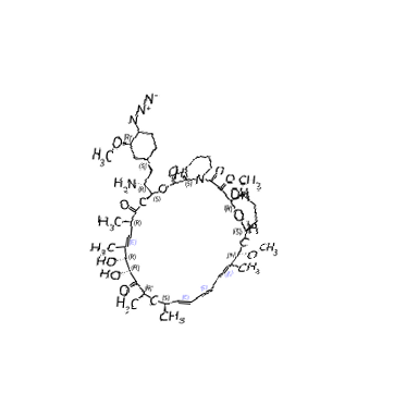 CO[C@H]1C[C@@H]2CC[C@@H](C)[C@@](O)(O2)C(=O)C(=O)N2CCCC[C@H]2C(=O)O[C@H]([C@H](N)C[C@@H]2CCC(N=[N+]=[N-])[C@H](OC)C2)CC(=O)[C@H](C)/C=C(\C)[C@@H](O)[C@@H](O)C(=O)[C@H](C)C[C@H](C)/C=C/C=C/C=C/1C